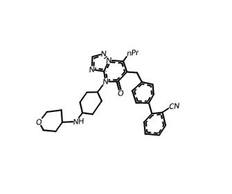 CCCc1c(Cc2ccc(-c3ccccc3C#N)cc2)c(=O)n(C2CCC(NC3CCOCC3)CC2)c2ncnn12